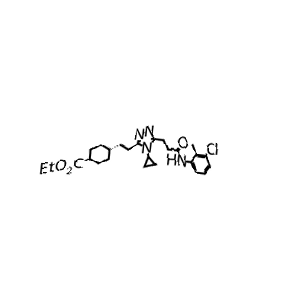 CCOC(=O)[C@H]1CC[C@H](CCc2nnc(CCC(=O)Nc3cccc(Cl)c3C)n2C2CC2)CC1